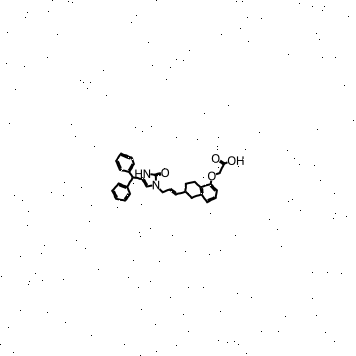 O=C(O)COc1cccc2c1CCC(C=CCn1cc(C(c3ccccc3)c3ccccc3)[nH]c1=O)C2